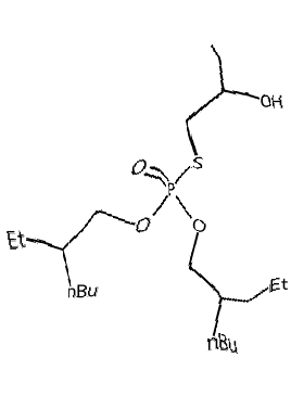 CCCCC(CC)COP(=O)(OCC(CC)CCCC)SCC(C)O